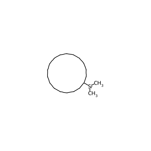 C[Si](C)C1CCCCCCCCCCCCCCCCC1